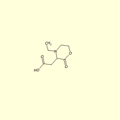 CCN1CCOC(=O)C1CC(=O)O